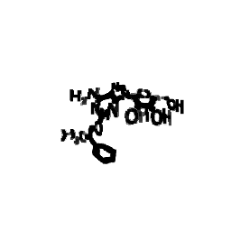 CC(COc1nc(N)c2ncn([C@@H]3O[C@H](CO)C(O)C3O)c2n1)c1ccccc1